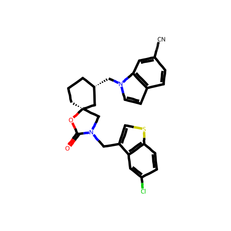 N#Cc1ccc2ccn(C[C@H]3CCC[C@]4(C3)CN(Cc3csc5ccc(Cl)cc35)C(=O)O4)c2c1